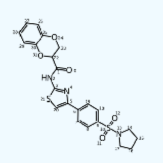 O=C(Nc1nc(-c2ccc(S(=O)(=O)N3CCCC3)cc2)cs1)C1COc2ccccc2O1